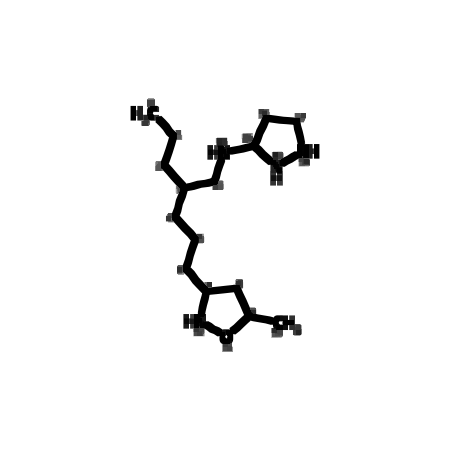 CCCC(CCCC1CC(C)ON1)CNC1CCNN1